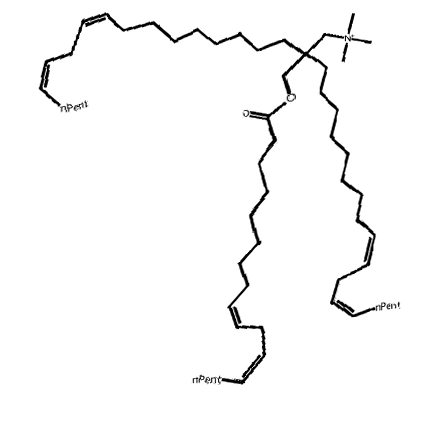 CCCCC/C=C\C/C=C\CCCCCCCCC(CCCCCCCC/C=C\C/C=C\CCCCC)(COC(=O)CCCCCCC/C=C\C/C=C\CCCCC)C[N+](C)(C)C